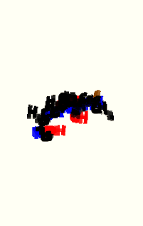 Cc1ncsc1-c1ccc(C(C)NC(=O)[C@@H]2C[C@@H](O)CN2C(=O)C(NC(=O)CN2CCC(N(C)c3ccc(-c4cnnc(-c5ccccc5O)c4)cc3)CC2)C(C)(C)C)cc1